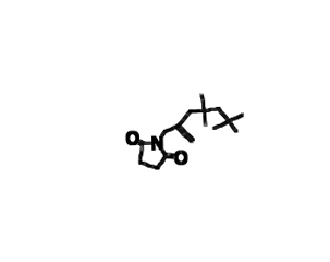 C=C(CN1C(=O)CCC1=O)CC(C)(C)CC(C)(C)C